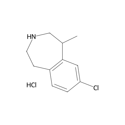 CC1CNCCc2ccc(Cl)cc21.Cl